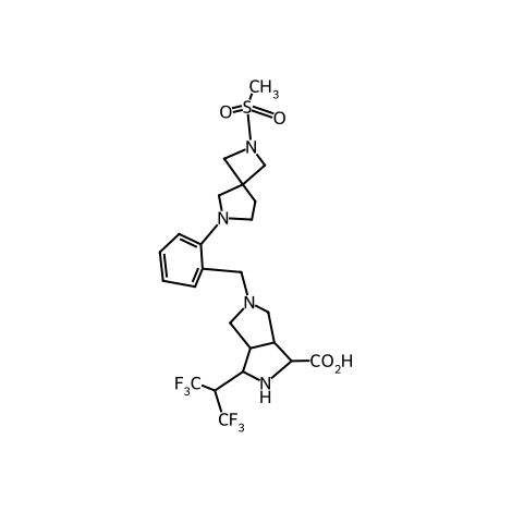 CS(=O)(=O)N1CC2(CCN(c3ccccc3CN3CC4C(C(=O)O)NC(C(C(F)(F)F)C(F)(F)F)C4C3)C2)C1